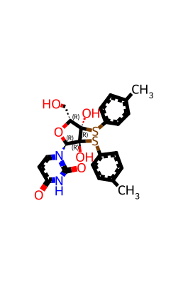 Cc1ccc(S[C@]2(O)[C@@H](CO)O[C@@H](n3ccc(=O)[nH]c3=O)[C@@]2(O)Sc2ccc(C)cc2)cc1